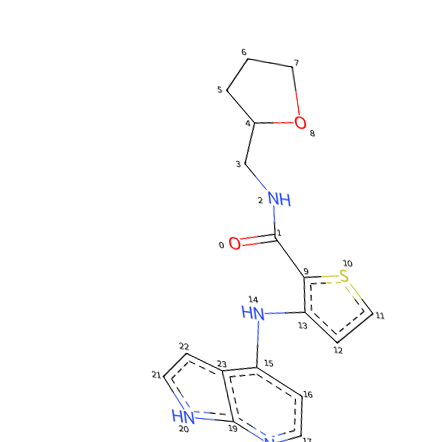 O=C(NCC1CCCO1)c1sccc1Nc1ccnc2[nH]ccc12